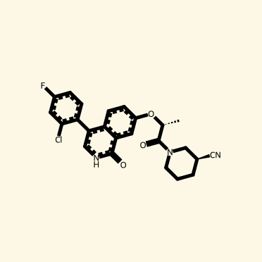 C[C@@H](Oc1ccc2c(-c3ccc(F)cc3Cl)c[nH]c(=O)c2c1)C(=O)N1CCC[C@H](C#N)C1